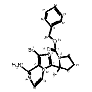 [2H]C1(c2nc(Br)c3c(N)nccn23)CCCN1C(=O)OCc1ccccc1